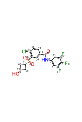 O=C(Nc1cc(F)c(F)c(F)c1)c1ccc(Cl)c(S(=O)(=O)[C@H]2C[C@@H](O)C2)c1